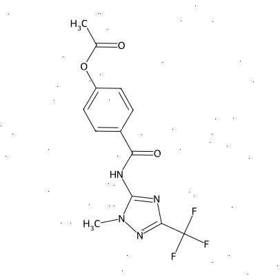 CC(=O)Oc1ccc(C(=O)Nc2nc(C(F)(F)F)nn2C)cc1